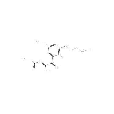 COC(=O)N=C(SC)C(=N)c1cc(OC)cc(COCCO)c1F